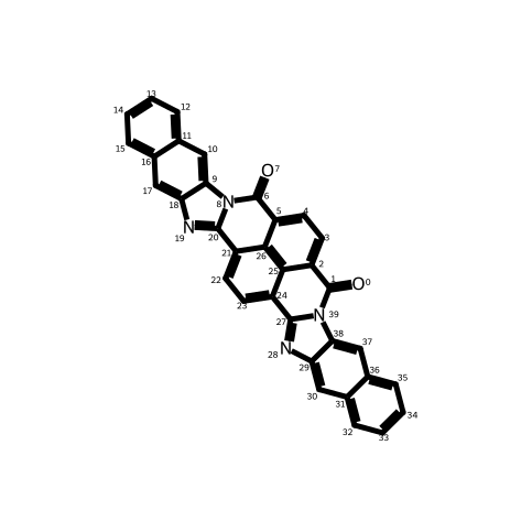 O=c1c2ccc3c(=O)n4c5cc6ccccc6cc5nc4c4ccc(c2c34)c2nc3cc4ccccc4cc3n12